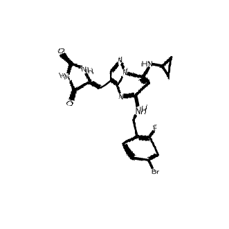 O=C1NC(=O)/C(=C/c2cnn3c(NC4CC4)cc(NCc4ccc(Br)cc4F)nc23)N1